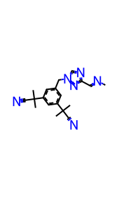 C/N=C/c1ncn(Cc2cc(C(C)(C)C#N)cc(C(C)(C)C#N)c2)n1